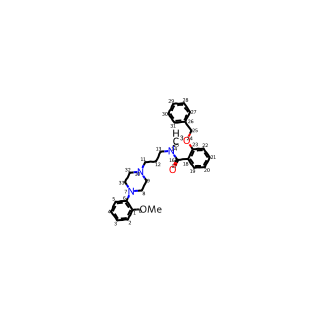 COc1ccccc1N1CCN(CCCN(C)C(=O)c2ccccc2OCc2ccccc2)CC1